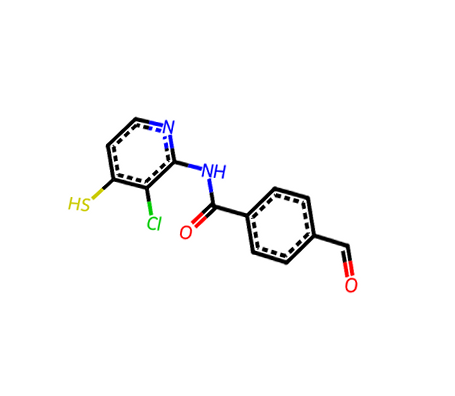 O=Cc1ccc(C(=O)Nc2nccc(S)c2Cl)cc1